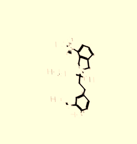 COc1cc(CCC(C)(C)N2Cc3cccc(S(C)(=O)=O)c3C2)ccc1O.Cl